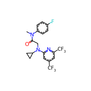 CN(C(=O)CN(c1cc(C(F)(F)F)cc(C(F)(F)F)n1)C1CC1)c1ccc(F)cc1